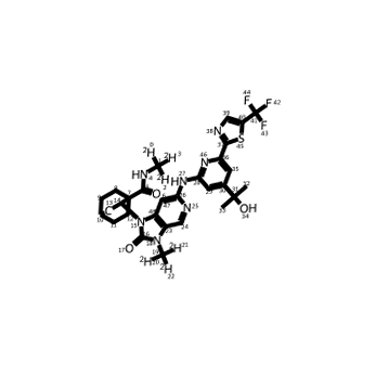 [2H]C([2H])([2H])NC(=O)C12CCC(CC1)CC2n1c(=O)n(C([2H])([2H])[2H])c2cnc(Nc3cc(C(C)(C)O)cc(-c4ncc(C(F)(F)F)s4)n3)cc21